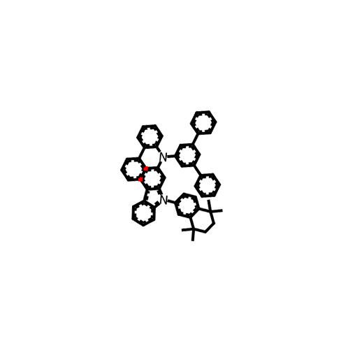 CC1(C)CCC(C)(C)c2cc(-n3c4ccccc4c4ccc(N(c5cc(-c6ccccc6)cc(-c6ccccc6)c5)c5ccccc5-c5ccccc5)cc43)ccc21